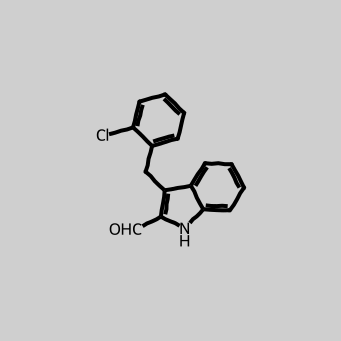 O=Cc1[nH]c2ccccc2c1Cc1ccccc1Cl